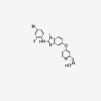 Cn1c(Nc2ccc(Br)cc2F)nc2cc(Oc3ccnc(/C=N\O)c3)ccc21